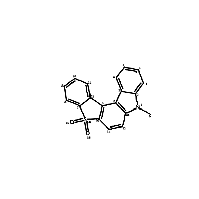 Cn1c2ccccc2c2c3c(ccc21)S(=O)(=O)c1ccccc1-3